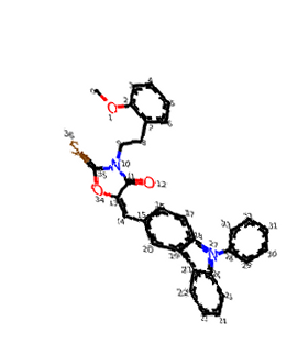 COc1ccccc1CCN1C(=O)/C(=C\c2ccc3c(c2)c2ccccc2n3-c2ccccc2)OC1=S